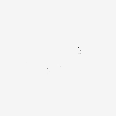 CNCC1CC(=O)NO1